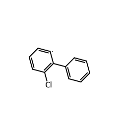 Clc1ccc[c]c1-c1ccccc1